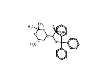 C[C@H]1C[C@H](C(OC(c2ccccc2)(c2ccccc2)c2ccccc2)C(=O)O)OC(C)(C)O1